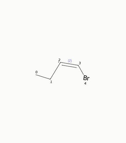 CC/[C]=C\Br